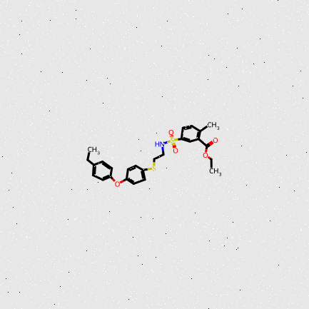 CCOC(=O)c1cc(S(=O)(=O)NCCSc2ccc(Oc3ccc(CC)cc3)cc2)ccc1C